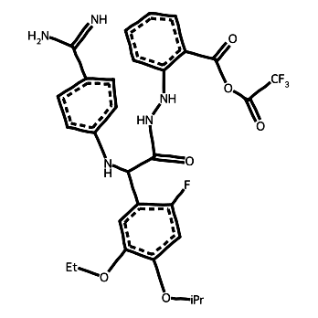 CCOc1cc(C(Nc2ccc(C(=N)N)cc2)C(=O)NNc2ccccc2C(=O)OC(=O)C(F)(F)F)c(F)cc1OC(C)C